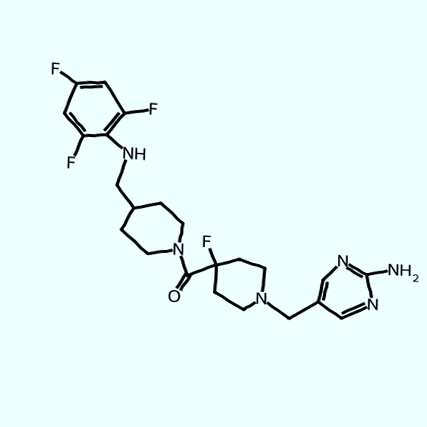 Nc1ncc(CN2CCC(F)(C(=O)N3CCC(CNc4c(F)cc(F)cc4F)CC3)CC2)cn1